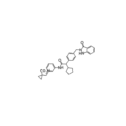 O=C(Nc1cccc(CC2(C(=O)O)CC2)c1)C(c1ccc(Cn2[nH]c3ccccc3c2=O)cc1)C1CCCC1